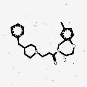 Cc1ccc2c(c1)CN(C(=O)CCN1CCC(Cc3ccccc3)CC1)[C@@H](C)CO2